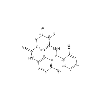 CCc1ccc(NC(=O)OCC(C)N(C)C(=O)NCc2ccccc2Cl)cc1